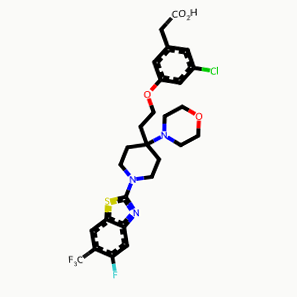 O=C(O)Cc1cc(Cl)cc(OCCC2(N3CCOCC3)CCN(c3nc4cc(F)c(C(F)(F)F)cc4s3)CC2)c1